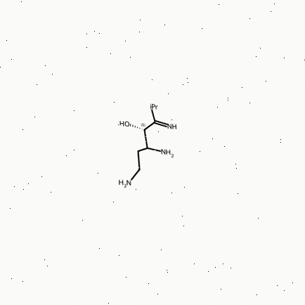 CC(C)C(=N)[C@@H](O)C(N)CCN